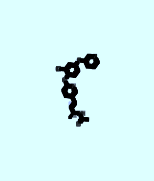 CC(=O)N[C@@H](C)/C=C/c1ccc(Oc2ccc(Oc3cccnc3)cc2Cl)nc1